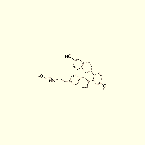 CCN(Cc1ccc(CCNCCOC)cc1)C1C=C(OC)C=CC1[C@@H]1CCc2cc(O)ccc2C1